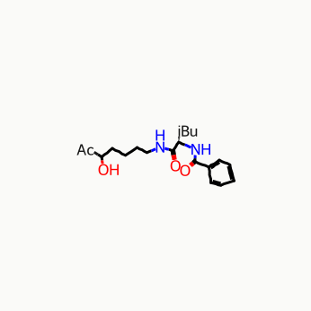 CCC(C)[C@H](NC(=O)c1ccccc1)C(=O)NCCCCC(O)C(C)=O